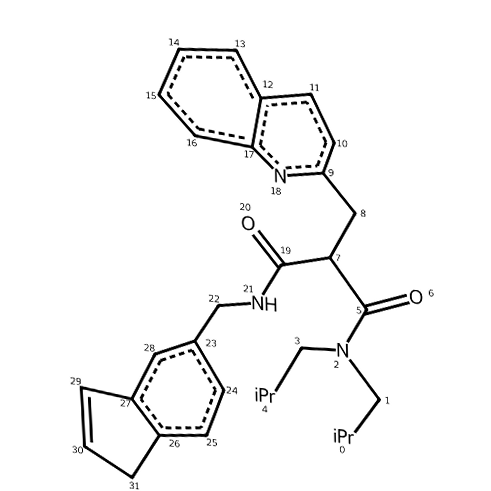 CC(C)CN(CC(C)C)C(=O)C(Cc1ccc2ccccc2n1)C(=O)NCc1ccc2c(c1)C=CC2